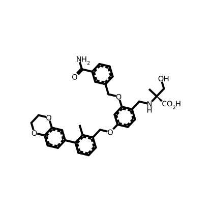 Cc1c(COc2ccc(CN[C@](C)(CO)C(=O)O)c(OCc3cccc(C(N)=O)c3)c2)cccc1-c1ccc2c(c1)OCCO2